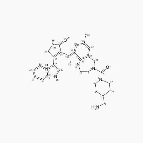 NCC1CCN(C(=O)N2CCn3cc(C4=C(c5cnc6ccccn56)CNC4=O)c4cc(F)cc(c43)C2)CC1